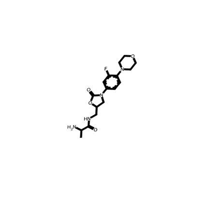 CC(N)C(=O)NCC1CN(c2ccc(N3CCOCC3)c(F)c2)C(=O)O1